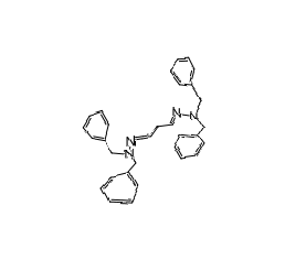 C(CC=NN(Cc1ccccc1)Cc1ccccc1)=NN(Cc1ccccc1)Cc1ccccc1